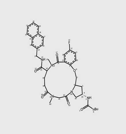 CCCCC(=O)N[C@H]1CC2COc3ccc(F)cc3C(=O)N(C)C(C(=O)NCc3ccc4ccccc4c3)CCC(=O)N(C)CC(=O)N2C1